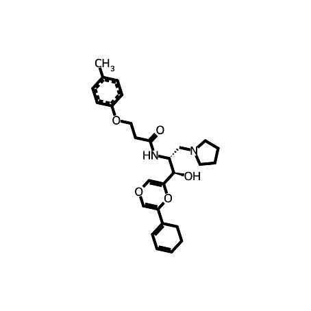 Cc1ccc(OCCC(=O)N[C@H](CN2CCCC2)[C@@H](O)C2=COC=C(C3=CC=CCC3)O2)cc1